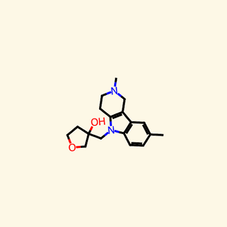 Cc1ccc2c(c1)c1c(n2CC2(O)CCOC2)CCN(C)C1